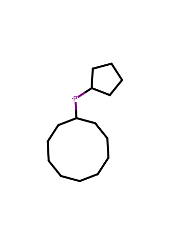 C1CCCCC([P]C2CCCC2)CCCC1